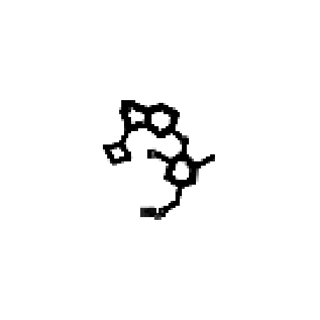 Cc1cc(CC(=O)O)cc(Cl)c1Oc1ccc2[nH]cc(C3CCC3)c2c1